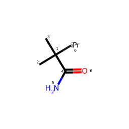 CC(C)C(C)(C)C(N)=O